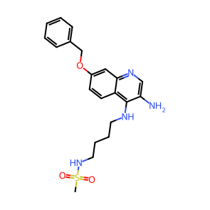 CS(=O)(=O)NCCCCNc1c(N)cnc2cc(OCc3ccccc3)ccc12